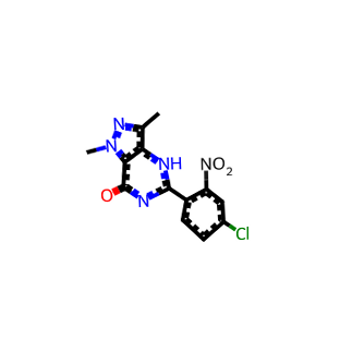 Cc1nn(C)c2c(=O)nc(-c3ccc(Cl)cc3[N+](=O)[O-])[nH]c12